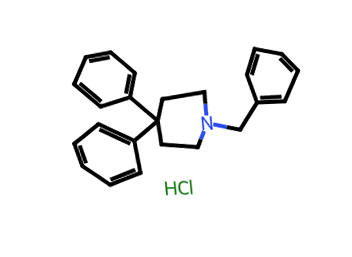 Cl.c1ccc(CN2CCC(c3ccccc3)(c3ccccc3)CC2)cc1